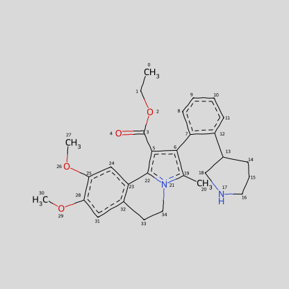 CCOC(=O)c1c(-c2ccccc2C2CCCNC2)c(C)n2c1-c1cc(OC)c(OC)cc1CC2